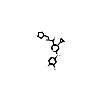 O=C(NCC1CCCC1)c1cnc(Nc2ccc(F)c(Cl)c2)cc1C1CC1